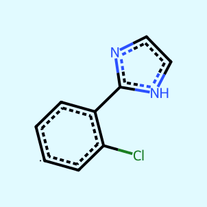 Clc1c[c]ccc1-c1ncc[nH]1